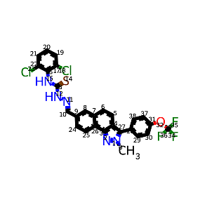 Cn1nc2c(ccc3cc(C=NNC(=S)Nc4c(Cl)cccc4Cl)ccc32)c1-c1ccc(OC(F)(F)F)cc1